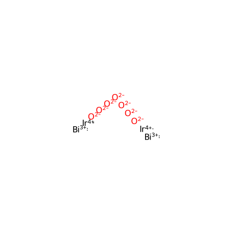 [Bi+3].[Bi+3].[Ir+4].[Ir+4].[O-2].[O-2].[O-2].[O-2].[O-2].[O-2].[O-2]